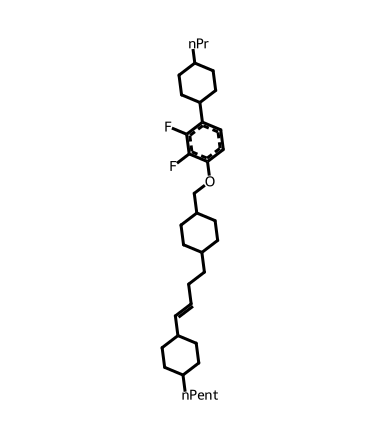 CCCCCC1CCC(/C=C/CCC2CCC(COc3ccc(C4CCC(CCC)CC4)c(F)c3F)CC2)CC1